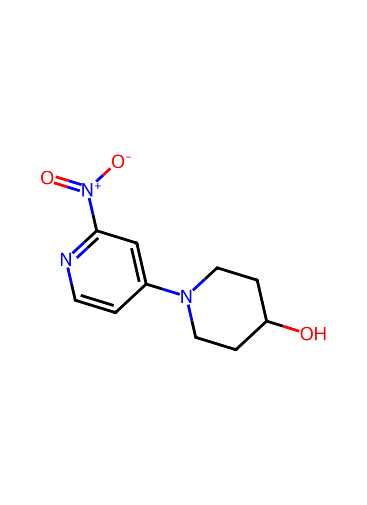 O=[N+]([O-])c1cc(N2CCC(O)CC2)ccn1